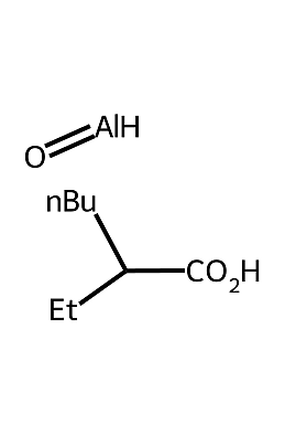 CCCCC(CC)C(=O)O.[O]=[AlH]